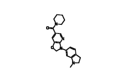 CN1CCc2ccc(N3COc4cc(C(=O)N5CCCCC5)cnc43)cc21